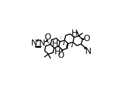 CC1(C)CC[C@]2(C(=O)n3ccnc3)CC[C@]3(C)[C@H](C(=O)C=C4[C@@]5(C)CC(C#N)C(=O)C(C)(C)[C@@H]5CC[C@]43C)[C@@H]2C1